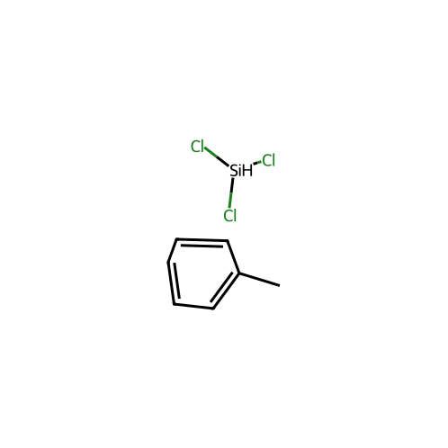 Cc1ccccc1.Cl[SiH](Cl)Cl